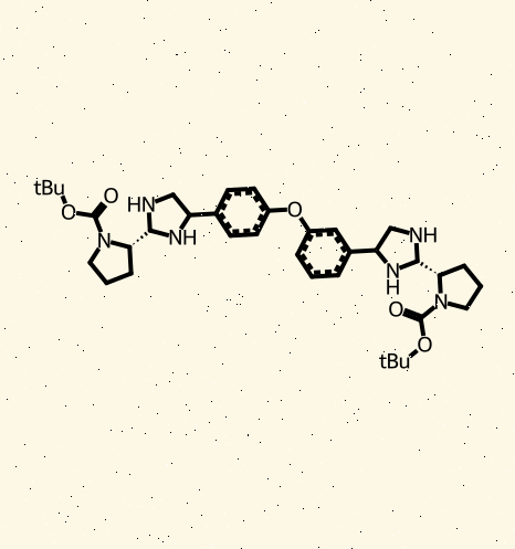 CC(C)(C)OC(=O)N1CCC[C@H]1C1NCC(c2ccc(Oc3cccc(C4CNC([C@@H]5CCCN5C(=O)OC(C)(C)C)N4)c3)cc2)N1